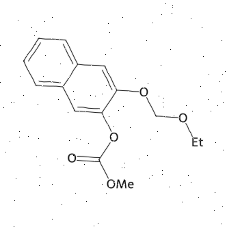 CCOCOc1cc2ccccc2cc1OC(=O)OC